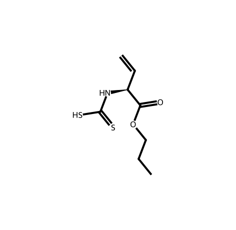 C=C[C@H](NC(=S)S)C(=O)OCCC